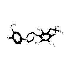 COc1cc(N2CCN(c3c(C)c(C)c4c(c3C)CC(C)(C)O4)CC2)ccc1F